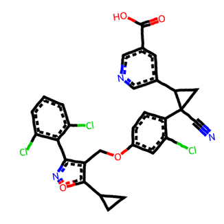 N#CC1(c2ccc(OCc3c(-c4c(Cl)cccc4Cl)noc3C3CC3)cc2Cl)CC1c1cncc(C(=O)O)c1